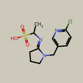 CC(/N=C1\CCCN1Cc1ccc(Cl)nc1)S(=O)(=O)O